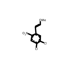 COC=Cc1cc(Cl)c(Cl)cc1[N+](=O)[O-]